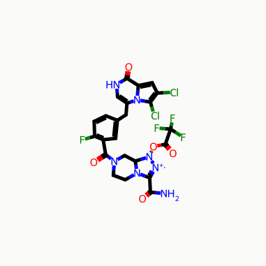 NC(=O)C1=[N+]N(OC(=O)C(F)(F)F)C2CN(C(=O)c3cc(Cc4c[nH]c(=O)c5cc(Cl)c(Cl)n45)ccc3F)CCN12